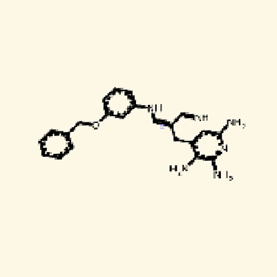 N=C/C(=C\Nc1cccc(OCc2ccccc2)c1)Cc1cc(N)nc(N)c1N